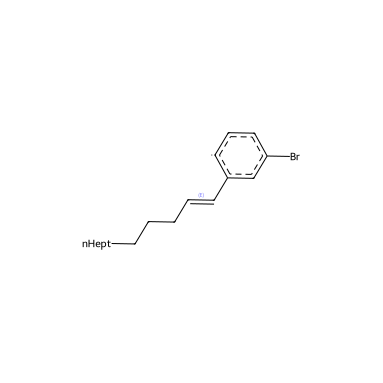 CCCCCCCCCC/C=C/c1[c]ccc(Br)c1